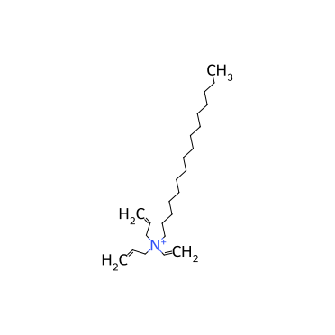 C=CC[N+](C=C)(CC=C)CCCCCCCCCCCCCCCC